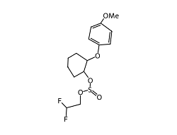 COc1ccc(OC2CCCCC2OS(=O)OCC(F)F)cc1